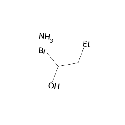 CCCC(O)Br.N